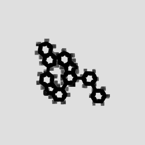 c1ccc(-c2cccc(-c3nc(-c4cccc5oc6ccc(-c7ccc8ccccc8c7)cc6c45)nc4c3sc3ccccc34)c2)cc1